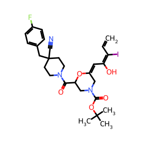 C=C/C(I)=C(O)\C=C1/CN(C(=O)OC(C)(C)C)CC(C(=O)N2CCC(C#N)(Cc3ccc(F)cc3)CC2)O1